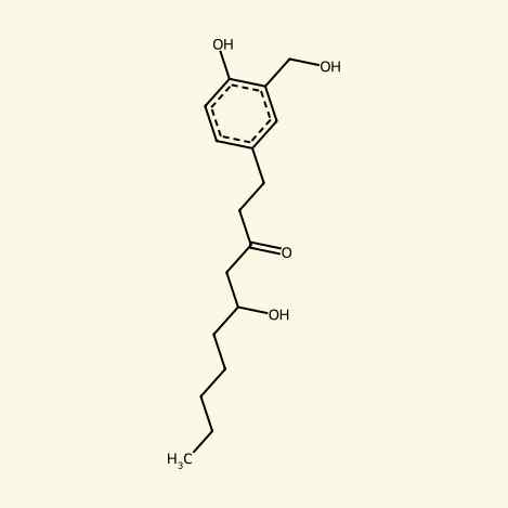 CCCCCC(O)CC(=O)CCc1ccc(O)c(CO)c1